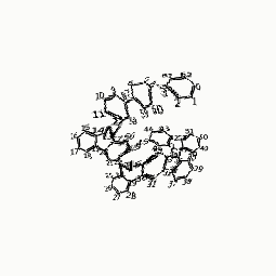 c1ccc(-c2ccc(-c3cccc(-n4c5ccccc5c5cc(-n6c7ccccc7c7ccc([Si](c8ccccc8)(c8ccccc8)c8ccccc8)cc76)ccc54)c3)cc2)cc1